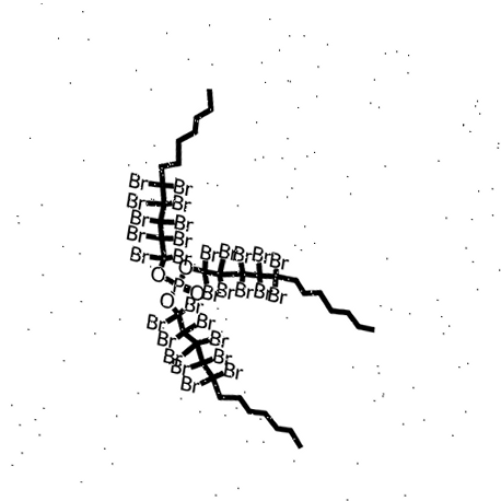 CCCCCCCC(Br)(Br)C(Br)(Br)C(Br)(Br)C(Br)(Br)C(Br)(Br)OP(=O)(OC(Br)(Br)C(Br)(Br)C(Br)(Br)C(Br)(Br)C(Br)(Br)CCCCCCC)OC(Br)(Br)C(Br)(Br)C(Br)(Br)C(Br)(Br)C(Br)(Br)CCCCCCC